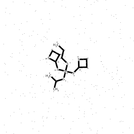 CCC[S][Sn]([S]C(C)C)([S]C1CCS1)[S]C1CCS1